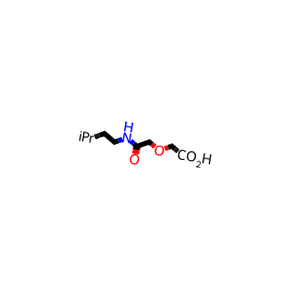 CC(C)CCNC(=O)COCC(=O)O